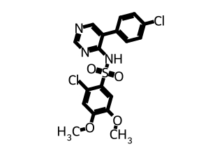 COc1cc(Cl)c(S(=O)(=O)Nc2ncncc2-c2ccc(Cl)cc2)cc1OC